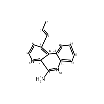 CC=Cc1ccnc2c(N)nc3ccccc3c12